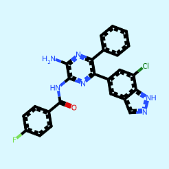 Nc1nc(-c2ccccc2)c(-c2cc(Cl)c3[nH]ncc3c2)nc1NC(=O)c1ccc(F)cc1